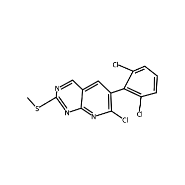 CSc1ncc2cc(-c3c(Cl)cccc3Cl)c(Cl)nc2n1